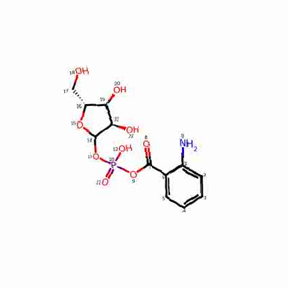 Nc1ccccc1C(=O)OP(=O)(O)OC1O[C@H](CO)[C@@H](O)[C@H]1O